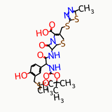 Cc1nnc(SCC2=C(C(=O)O)N3C(=O)C(NC(=O)C(NC(=O)OC(C)(C)C)c4ccc(O)c(C[S+](C)[O-])c4)C3SC2)s1